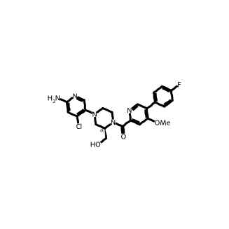 COc1cc(C(=O)N2CCN(c3cnc(N)cc3Cl)C[C@@H]2CO)ncc1-c1ccc(F)cc1